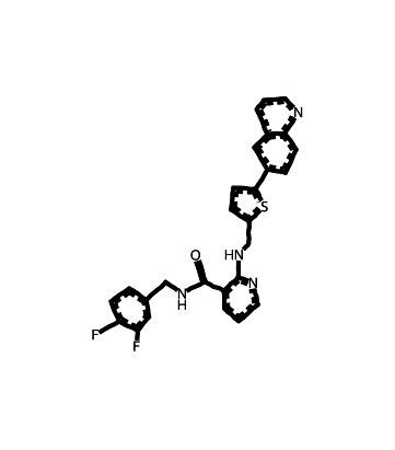 O=C(NCc1ccc(F)c(F)c1)c1cccnc1NCc1ccc(-c2ccc3ncccc3c2)s1